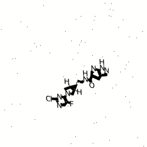 O=C(NCC[C@@H]1[C@H]2CN(c3nc(Cl)ncc3F)C[C@@H]12)c1cnc2[nH]ncc2c1